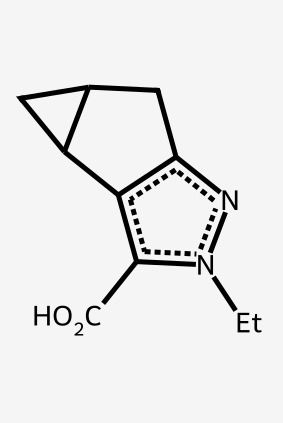 CCn1nc2c(c1C(=O)O)C1CC1C2